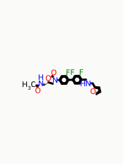 CC(=O)NC[C@H]1CN(c2ccc(-c3ccc(CNCc4ccco4)c(F)c3F)c(F)c2)C(=O)O1